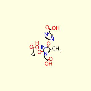 Cc1cn(CC(=O)O)c(=O)[nH]c1=O.O=C(O)C1CC1.O=C(O)c1cnccn1